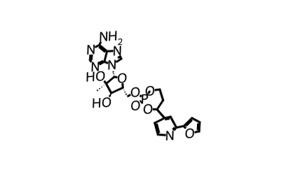 C[C@@]1(O)[C@H](O)[C@@H](COP2(=O)OCCC(c3ccnc(-c4ccco4)c3)O2)O[C@H]1n1cnc2c(N)ncnc21